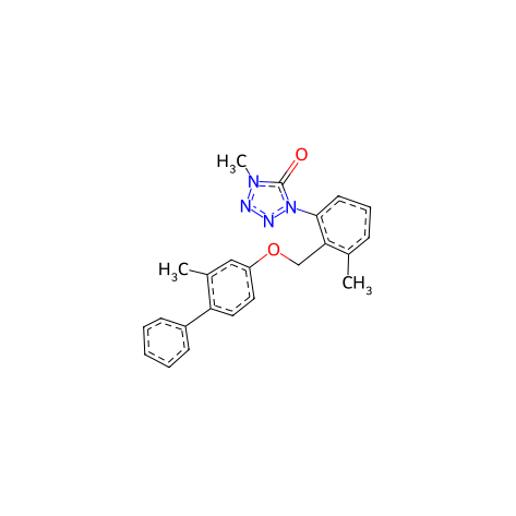 Cc1cc(OCc2c(C)cccc2-n2nnn(C)c2=O)ccc1-c1ccccc1